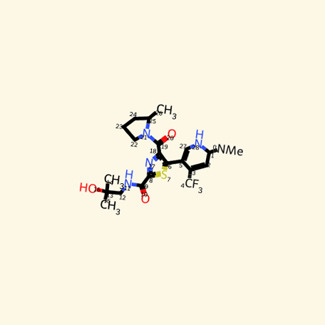 CNC1C=C(C(F)(F)F)C(c2sc(C(=O)NCC(C)(C)O)nc2C(=O)N2CCCC2C)=CN1